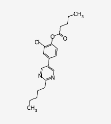 CCCCCc1ncc(-c2ccc(OC(=O)CCCC)c(Cl)c2)cn1